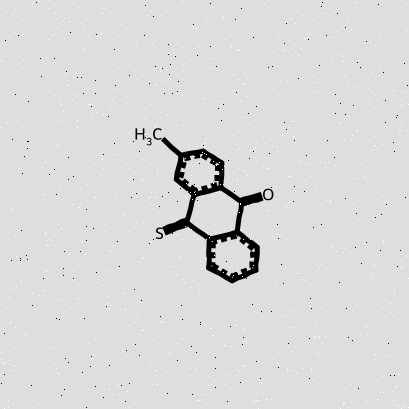 Cc1ccc2c(c1)C(=S)c1ccccc1C2=O